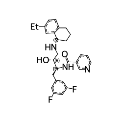 CCc1ccc2c(c1)[C@@H](NC[C@@H](O)[C@H](Cc1cc(F)cc(F)c1)NC(=O)c1cccnc1)CCC2